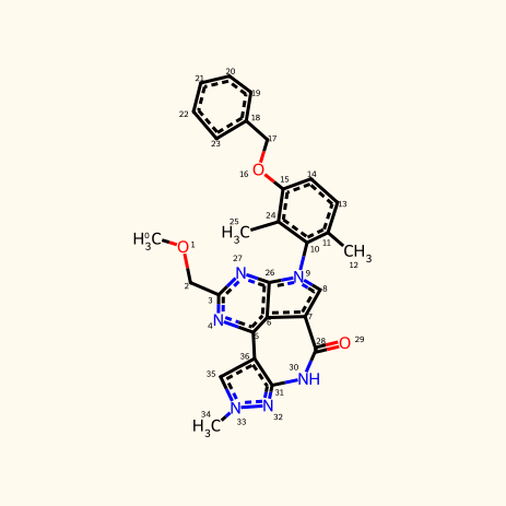 COCc1nc2c3c(cn(-c4c(C)ccc(OCc5ccccc5)c4C)c3n1)C(=O)Nc1nn(C)cc1-2